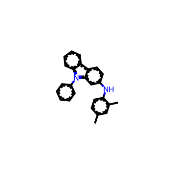 Cc1ccc(Nc2ccc3c4ccccc4n(-c4ccccc4)c3c2)c(C)c1